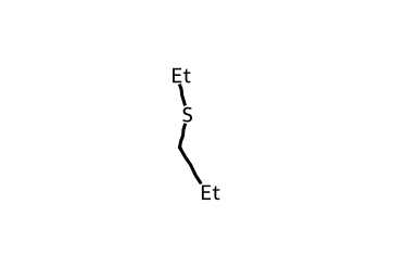 CCCSCC